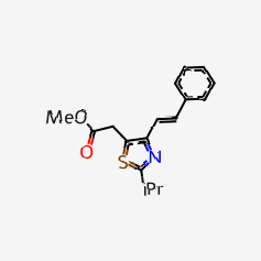 COC(=O)Cc1sc(C(C)C)nc1C=Cc1ccccc1